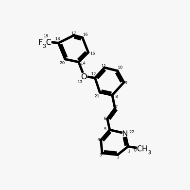 Cc1cccc(C=Cc2cccc(Oc3cccc(C(F)(F)F)c3)c2)n1